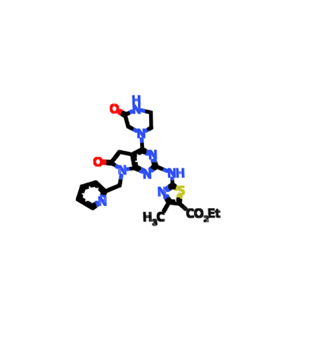 CCOC(=O)c1sc(Nc2nc(N3CCNC(=O)C3)c3c(n2)N(Cc2ccccn2)C(=O)C3)nc1C